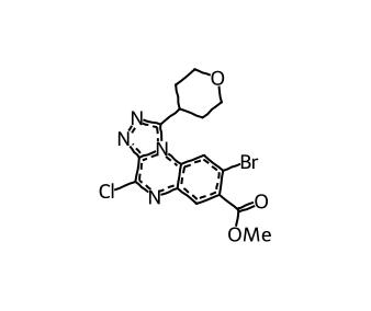 COC(=O)c1cc2nc(Cl)c3nnc(C4CCOCC4)n3c2cc1Br